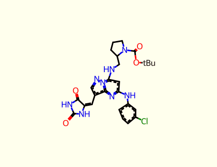 CC(C)(C)OC(=O)N1CCCC1CNc1cc(Nc2cccc(Cl)c2)nc2c(C=C3NC(=O)NC3=O)cnn12